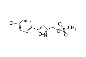 CS(=O)(=O)OCc1cc(-c2ccc(Cl)cc2)on1